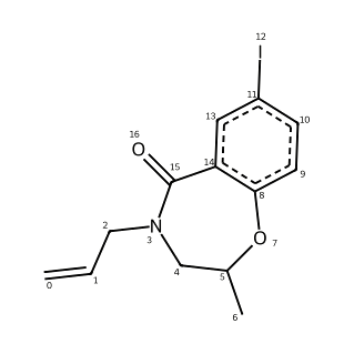 C=CCN1CC(C)Oc2ccc(I)cc2C1=O